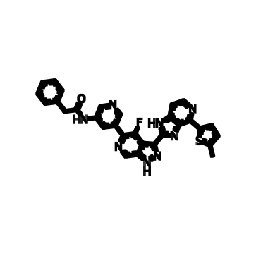 Cc1ccc(-c2nccc3[nH]c(-c4n[nH]c5cnc(-c6cncc(NC(=O)Cc7ccccc7)c6)c(F)c45)nc23)s1